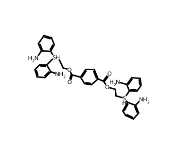 Nc1ccccc1[SH](CCOC(=O)c1ccc(C(=O)OCC[SH](c2ccccc2N)c2ccccc2N)cc1)c1ccccc1N